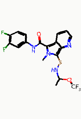 CC(NSc1c2ncccc2c(C(=O)Nc2ccc(F)c(F)c2)n1C)OC(F)(F)F